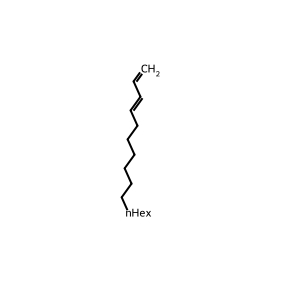 [CH2]CCCCCCCCCCCC=CC=C